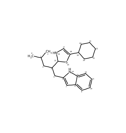 CC(C)CC(Cc1cc2ccccc2[nH]1)C1NC=C(C2CCCCC2)S1